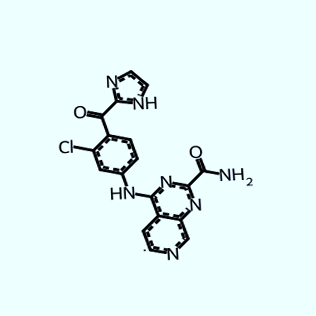 NC(=O)c1nc(Nc2ccc(C(=O)c3ncc[nH]3)c(Cl)c2)c2c[c]ncc2n1